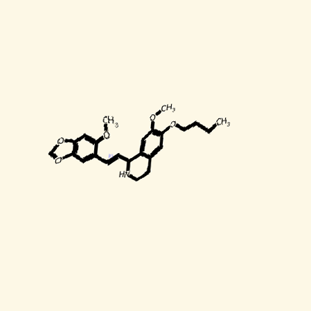 CCCCOc1cc2c(cc1OC)C(/C=C/c1cc3c(cc1OC)OCO3)NCC2